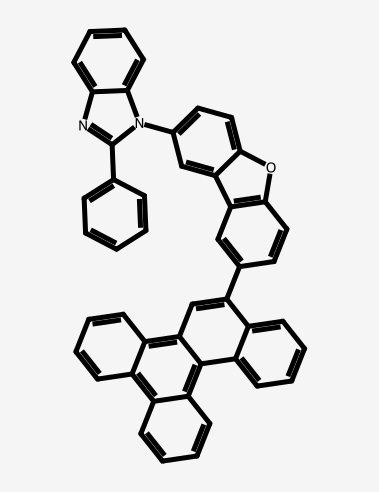 c1ccc(-c2nc3ccccc3n2-c2ccc3oc4ccc(-c5cc6c7ccccc7c7ccccc7c6c6ccccc56)cc4c3c2)cc1